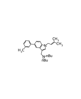 CCCCN(CCCC)Cc1cn(CC=C(C)C)c2ccc(-c3cccc(C)c3)cc12